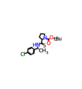 C[C@H](NC(=S)C1CCCN1C(=O)OC(C)(C)C)c1ccc(Cl)cc1